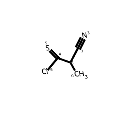 CC(C#N)C(=S)Cl